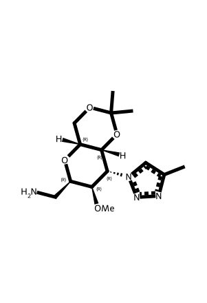 CO[C@@H]1[C@@H](n2cc(C)nn2)[C@H]2OC(C)(C)OC[C@H]2O[C@@H]1CN